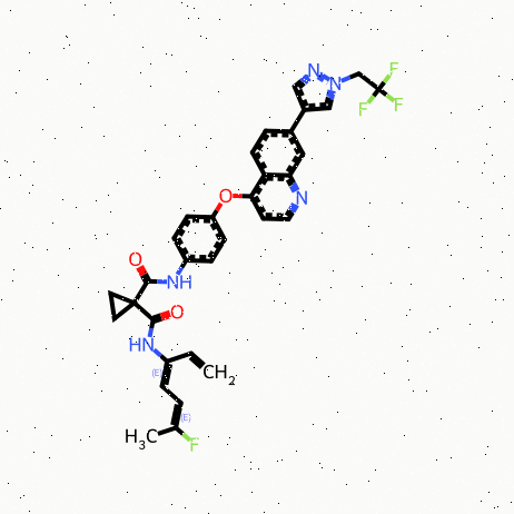 C=C/C(=C\C=C(/C)F)NC(=O)C1(C(=O)Nc2ccc(Oc3ccnc4cc(-c5cnn(CC(F)(F)F)c5)ccc34)cc2)CC1